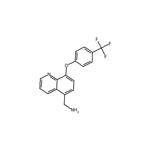 NCc1ccc(Oc2ccc(C(F)(F)F)cc2)c2ncccc12